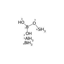 OB(O)O[SiH3].[AlH3].[BiH3]